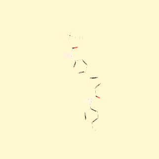 CC(C)(C)OC(=O)Nc1ccc(-c2ccc(C(=O)Nc3ccc(O)cc3)s2)cc1